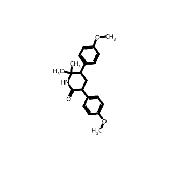 COc1ccc(C2CC(c3ccc(OC)cc3)C(C)(C)NC2=O)cc1